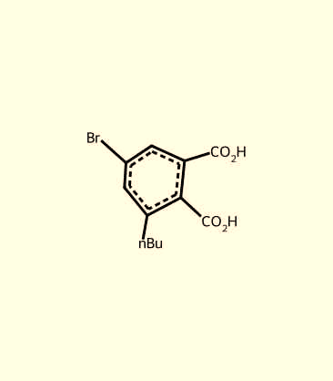 CCCCc1cc(Br)cc(C(=O)O)c1C(=O)O